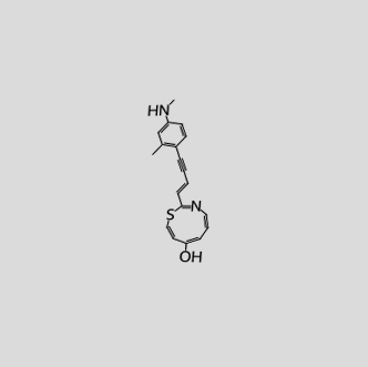 CNc1ccc(C#C/C=C/c2ncccc(O)ccs2)c(C)c1